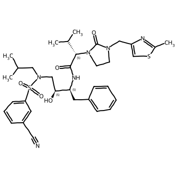 Cc1nc(CN2CCN([C@H](C(=O)N[C@@H](Cc3ccccc3)[C@@H](O)CN(CC(C)C)S(=O)(=O)c3cccc(C#N)c3)C(C)C)C2=O)cs1